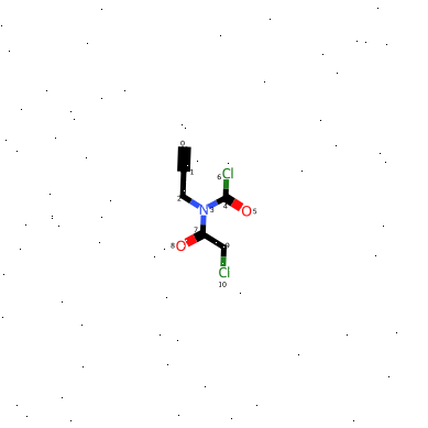 C#CCN(C(=O)Cl)C(=O)CCl